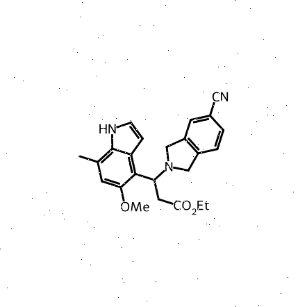 CCOC(=O)CC(c1c(OC)cc(C)c2[nH]ccc12)N1Cc2ccc(C#N)cc2C1